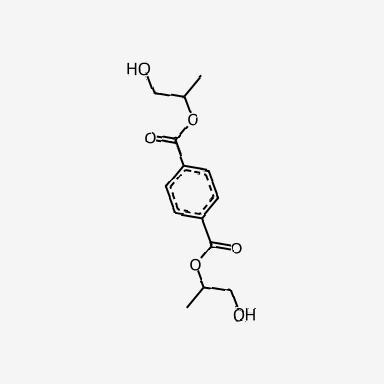 CC(CO)OC(=O)c1ccc(C(=O)OC(C)CO)cc1